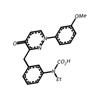 CCN(C(=O)O)c1cccc(Cc2nn(-c3cccc(OC)c3)ccc2=O)c1